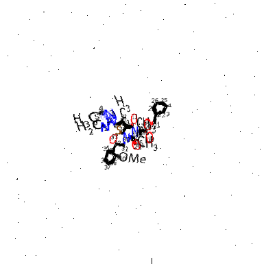 C=NN(/N=C\C)c1sc2c(c1C)c(=O)n(C(C)(C)C(=O)OCc1ccccc1)c(=O)n2CC(=O)c1ccccc1OC